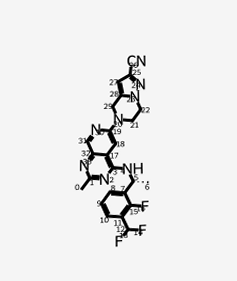 Cc1nc(N[C@H](C)c2cccc(C(F)F)c2F)c2cc(N3CCn4nc(C#N)cc4C3)ncc2n1